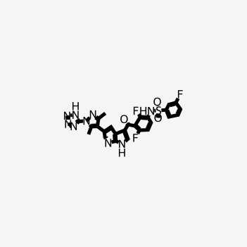 Cc1nn(-c2nnn[nH]2)c(C)c1-c1cnc2[nH]cc(C(=O)c3c(F)ccc(NS(=O)(=O)c4cccc(F)c4)c3F)c2c1